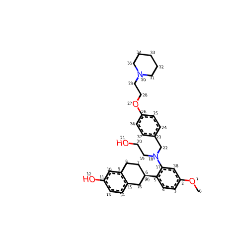 COc1ccc([C@@H]2CCc3cc(O)ccc3C2)c(N(CCO)Cc2ccc(OCCN3CCCCC3)cc2)c1